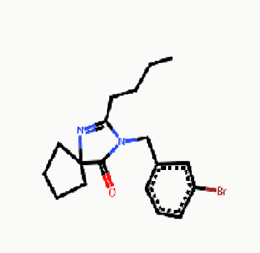 CCCCC1=NC2(CCCC2)C(=O)N1Cc1cccc(Br)c1